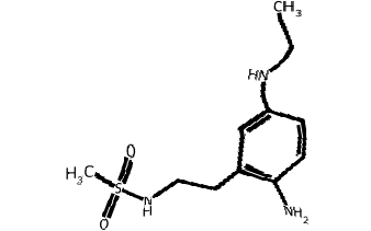 CCNc1ccc(N)c(CCNS(C)(=O)=O)c1